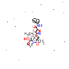 CC(C)Sc1c(OCC(C)(C)C(=O)N(C)CC(=O)O)noc1C(=O)NC1C2CC3CC(C2)CC1C3